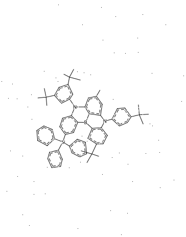 Cc1cc2c3c(c1)N(c1cc(C(C)(C)C)cc(C(C)(C)C)c1)c1ccc([Si](c4ccccc4)(c4ccccc4)c4ccccc4)cc1B3c1cc(C(C)(C)C)ccc1N2c1ccc(C(C)(C)C)cc1